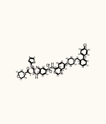 O=C(C[C@H](CSc1cccs1)Nc1ccc(S(=O)(=O)Nc2ncnc3cc(N4CCN(Cc5ccccc5-c5ccc(Cl)cc5)CC4)ccc23)cc1[N+](=O)[O-])N1CCOCC1